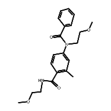 COCCNC(=O)c1ccc(N(CCOC)C(=O)c2cc[c]cc2)cc1C